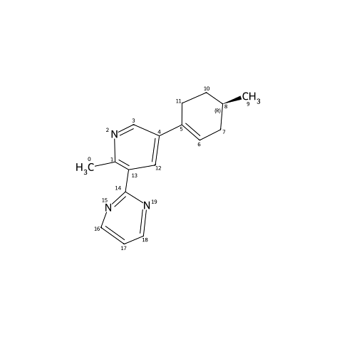 Cc1ncc(C2=CC[C@H](C)CC2)cc1-c1ncccn1